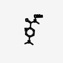 CON(C)C(=O)c1ccc(N(C)C)cn1